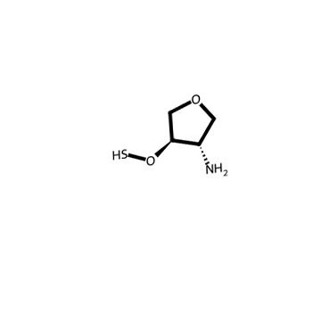 N[C@H]1COC[C@@H]1OS